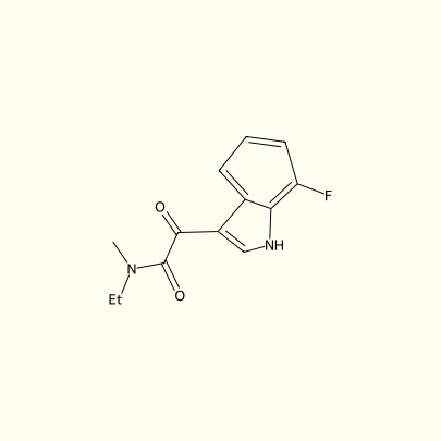 CCN(C)C(=O)C(=O)c1c[nH]c2c(F)cccc12